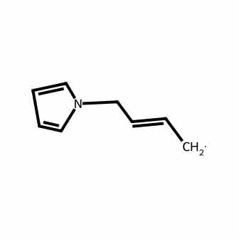 [CH2]C=CCn1cccc1